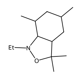 CCN1OC(C)(C)C2CC(C)CC(C)C21